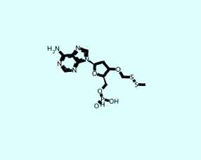 CSSCOC1C[C@H](n2cnc3c(N)ncnc32)O[C@@H]1CO[PH](=O)O